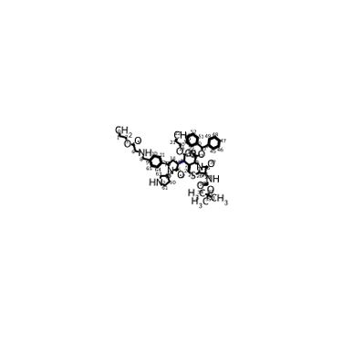 C=CCOC(=O)CNCc1ccc([C@H]2C/C(=C(\C(=O)OCC=C)C3=CSC4[C@H](NC(=O)OC(C)(C)C)C(=O)N4C3C(=O)OC(c3ccccc3)c3ccccc3)C(=O)N2[C@H]2CCNC2)cc1